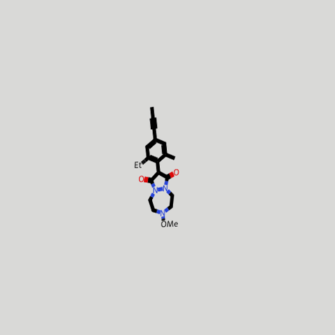 CC#Cc1cc(C)c(C2C(=O)N3CCN(OC)CCN3C2=O)c(CC)c1